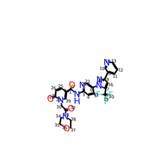 O=C(Nc1ccc(-n2nc(-c3cccnc3)cc2C(F)(F)F)cn1)c1ccc(=O)n(CC(=O)N2CCOCC2)c1